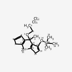 CCOC1(C)C2=[C](CC=C2)[Zr+2][C]2=C1C(O[Si](C)(C)C)=CC2.[Cl-].[Cl-]